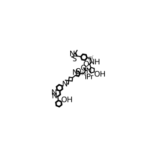 Cc1ncsc1-c1ccc([C@H](C)NC(=O)C2CC(O)CN2C(=O)[C@@H](c2cc(C3CC4(C3)CN(c3ccc5nnc(-c6ccccc6O)cc5c3)C4)no2)C(C)C)cc1